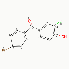 O=C(c1ccc(Br)cc1)c1ccc(O)c(Cl)c1